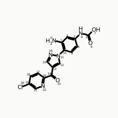 Nc1cc(NC(=O)O)ccc1-n1cc(C(=O)c2ccc(Cl)cn2)cn1